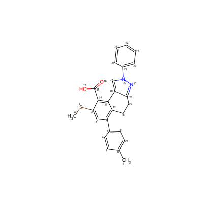 CSc1cc(-c2ccc(C)cc2)c2c(c1C(=O)O)-c1cn(-c3ccccc3)nc1CC2